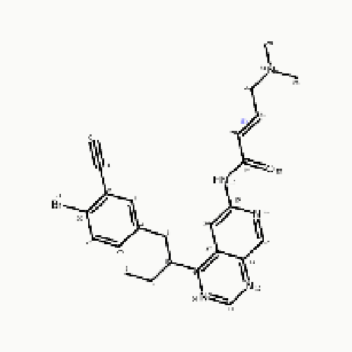 C#Cc1cc(CC(CC)c2ncnc3cnc(NC(=O)/C=C/CN(C)C)cc23)ccc1Br